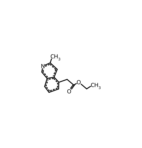 CCOC(=O)Cc1cccc2cnc(C)cc12